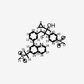 CC(O)(C1CC1)C(F)(Cc1cccc(-c2cc(C(C)(C)S(C)(=O)=O)cc3cccnc23)c1)c1ccc(S(C)(=O)=O)cc1